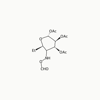 CC[C@H]1O[C@H](OC(C)=O)[C@@H](OC(C)=O)[C@@H](OC(C)=O)C1NOC=O